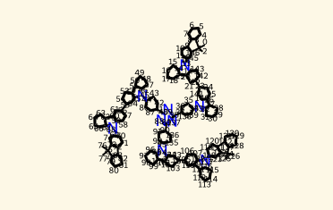 CC1(C)c2ccccc2-c2ccc(-n3c4ccccc4c4cc(-c5ccc6c7ccccc7n(-c7ccc(-c8nc(-c9ccc(-n%10c%11ccccc%11c%11ccc(-c%12ccc%13c(c%12)c%12ccccc%12n%13-c%12ccc%13c(c%12)C(C)(C)c%12ccccc%12-%13)cc%11%10)cc9)nc(-c9ccc(-n%10c%11ccccc%11c%11ccc(-c%12ccc%13c(c%12)c%12ccccc%12n%13-c%12ccc%13c(c%12)C(C)(C)c%12ccccc%12-%13)cc%11%10)cc9)n8)cc7)c6c5)ccc43)cc21